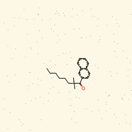 CCCCCCC(C)(C)C(=O)c1ccc2ccccc2c1